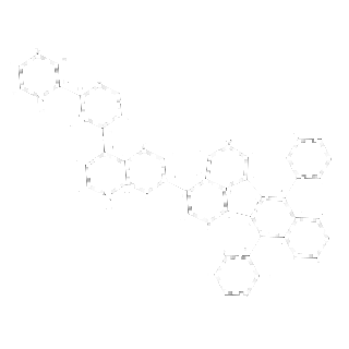 c1ccc(-c2c3c(c(-c4ccccc4)c4ccccc24)-c2ccc(-c4ccc5c(-c6cccc(-c7ccccn7)n6)ccnc5c4)c4cccc-3c24)cc1